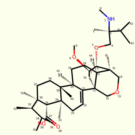 CN[C@](C)(CO[C@H]1[C@H](OC)C[C@@]23COC[C@@]1(C)[C@@H]2CC[C@H]1C3=CC[C@@]2(C)[C@H](C(=O)O)[C@@](C)([C@H](C)C(C)C)CC[C@]12C)C(C)C